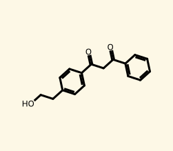 O=C(CC(=O)c1ccc(CCO)cc1)c1ccccc1